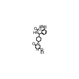 CCOC1=NCC(=O)N(C2CCC(C(NC(=O)OC(C)(C)C)c3cccc(Cl)c3)CC2)C1